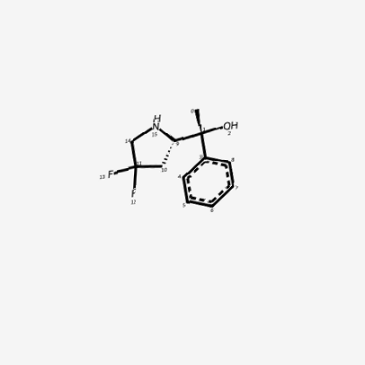 C[C@@](O)(c1ccccc1)[C@@H]1CC(F)(F)CN1